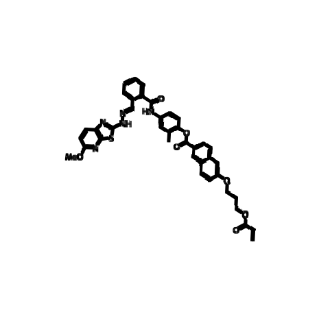 C=CC(=O)OCCCOc1ccc2cc(C(=O)Oc3ccc(NC(=O)c4ccccc4/C=N/Nc4nc5ccc(OC)nc5s4)cc3C)ccc2c1